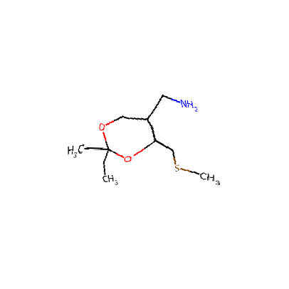 CSCC1OC(C)(C)OCC1CN